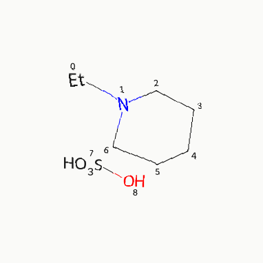 CCN1CCCCC1.O=S(=O)(O)O